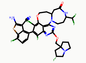 N#Cc1c(N)sc2c(F)ccc(-c3c(Cl)c4c5c(nc(OCC67CCCN6C[C@H](F)C7)nc5c3F)N3CCC(C(F)F)NC(=O)CC3CCO4)c12